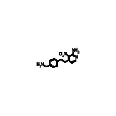 NCc1ccc(CCc2ccnc(N)c2[N+](=O)[O-])cc1